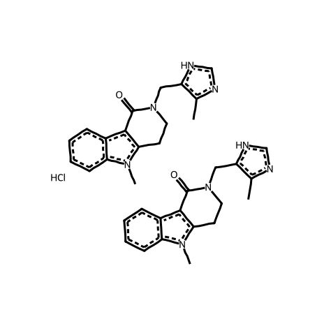 Cc1nc[nH]c1CN1CCc2c(c3ccccc3n2C)C1=O.Cc1nc[nH]c1CN1CCc2c(c3ccccc3n2C)C1=O.Cl